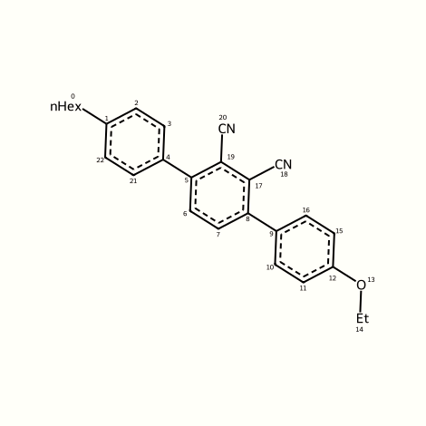 CCCCCCc1ccc(-c2ccc(-c3ccc(OCC)cc3)c(C#N)c2C#N)cc1